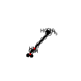 C[C@@H](C(=O)O)N(C)C(=O)CCOCCOCCOCCOCCOCCOCCNC(=O)CNC(=O)OCC1c2ccccc2-c2ccccc21